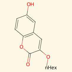 CCCCCCOc1cc2cc(O)ccc2oc1=O